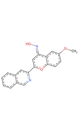 COc1ccc2oc(-c3cc4ccccc4cn3)c/c(=N\O)c2c1